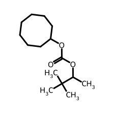 CC(OC(=O)OC1CCCCCCC1)C(C)(C)C